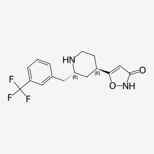 O=c1cc([C@@H]2CCN[C@@H](Cc3cccc(C(F)(F)F)c3)C2)o[nH]1